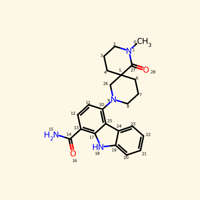 CN1CCCC2(CCCN(c3ccc(C(N)=O)c4[nH]c5ccccc5c34)C2)C1=O